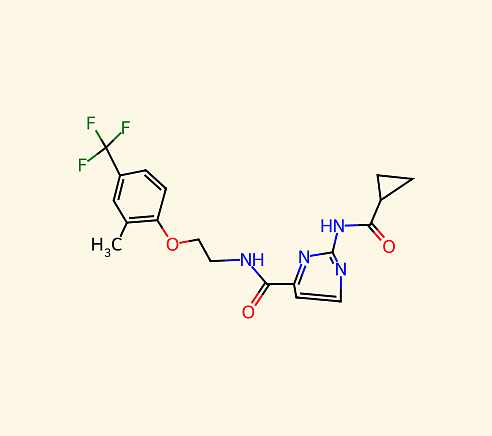 Cc1cc(C(F)(F)F)ccc1OCCNC(=O)c1ccnc(NC(=O)C2CC2)n1